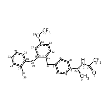 C[C@H](NC(=O)C(F)(F)F)c1ccc(Cc2ccc(OC(F)(F)F)cc2Sc2ccccc2F)cc1